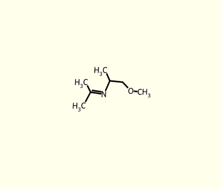 COCC(C)N=C(C)C